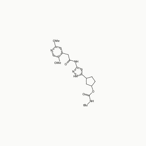 COc1cc(CC(=O)Nc2cc(C3CCC(OC(=O)NC(C)(C)C)C3)[nH]n2)c(OC)cn1